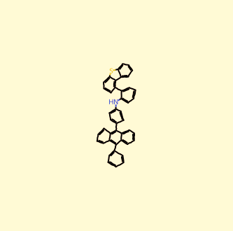 c1ccc(-c2c3ccccc3c(-c3ccc(Nc4ccccc4-c4cccc5sc6ccccc6c45)cc3)c3ccccc23)cc1